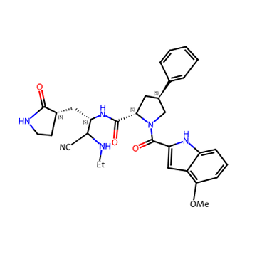 CCNC(C#N)[C@H](C[C@@H]1CCNC1=O)NC(=O)[C@@H]1C[C@@H](c2ccccc2)CN1C(=O)c1cc2c(OC)cccc2[nH]1